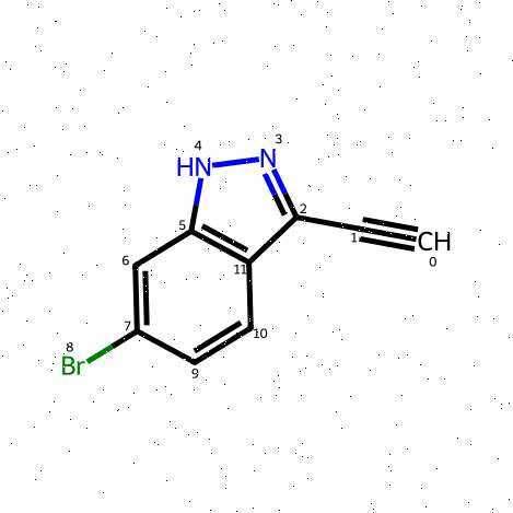 C#Cc1n[nH]c2cc(Br)ccc12